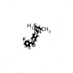 Cc1cc(C)nc(N2CC3CN(C(=O)c4cc(F)ccc4I)CC3C2)n1